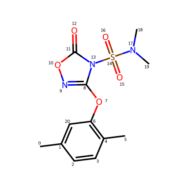 Cc1ccc(C)c(Oc2noc(=O)n2S(=O)(=O)N(C)C)c1